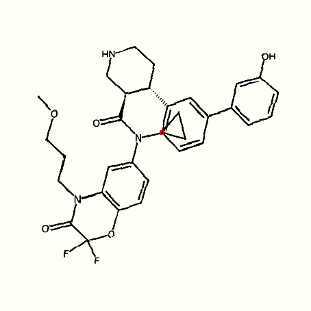 COCCCN1C(=O)C(F)(F)Oc2ccc(N(C(=O)[C@H]3CNCC[C@@H]3c3cccc(-c4cccc(O)c4)c3)C3CC3)cc21